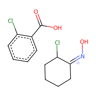 O/N=C1/CCCCC1Cl.O=C(O)c1ccccc1Cl